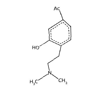 CC(=O)c1ccc(CCN(C)C)c(O)c1